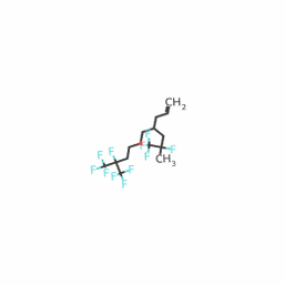 C=CCC(CCCCC(F)(C(F)(F)F)C(F)(F)F)CC(C)(F)C(F)(F)F